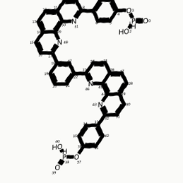 O=[PH](O)Oc1ccc(-c2ccc3ccc4ccc(-c5cccc(-c6ccc7ccc8ccc(-c9ccc(O[PH](=O)O)cc9)nc8c7n6)c5)nc4c3n2)cc1